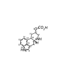 O=C(O)OC1CN[C@@H]2Cc3c[nH]c4cccc(c34)C2C1